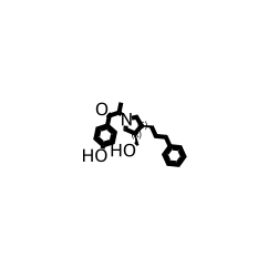 CC(C(=O)c1ccc(O)cc1)N1C[C@@H](CCCc2ccccc2)[C@@H](CO)C1